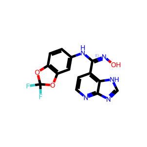 O/N=C(/Nc1ccc2c(c1)OC(F)(F)O2)c1ccnc2nc[nH]c12